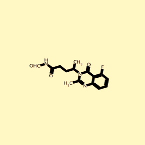 Cc1nc2cccc(F)c2c(=O)n1C(C)CCC(=O)NC=O